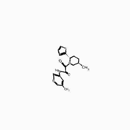 Cc1cncc(NC(=O)C(=O)N2C[C@H](C)CC[C@H]2c2cccs2)c1